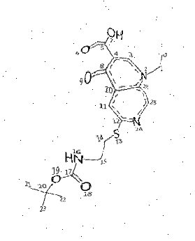 CCn1cc(C(=O)O)c(=O)c2cc(SCCNC(=O)OC(C)(C)C)ncc21